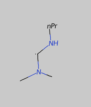 CCCN[CH]N(C)C